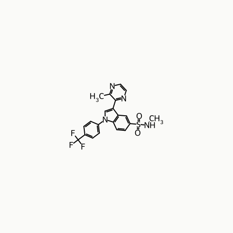 CNS(=O)(=O)c1ccc2c(c1)c(-c1nccnc1C)cn2-c1ccc(C(F)(F)F)cc1